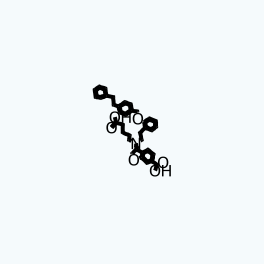 O=C(O)CCCCN(CCc1ccccc1OCc1ccc(CCc2ccccc2)cc1)C1COc2cc(C(=O)O)ccc21